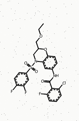 CCOCC1CN(S(=O)(=O)c2ccc(F)c(F)c2)c2cc(NC(=O)c3c(F)cccc3Cl)ccc2O1